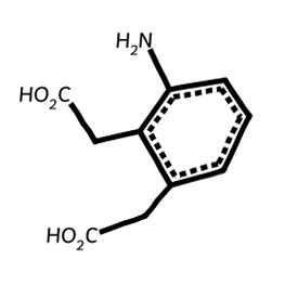 Nc1cccc(CC(=O)O)c1CC(=O)O